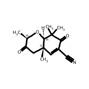 C[C@H]1O[C@H]2C(C)(C)C(=O)C(C#N)=C[C@]2(C)CC1=O